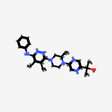 Cc1c(Nc2ccccc2)nnc(N2CCN(c3cnc(C(C)(C)O)cn3)[C@H](C)C2)c1C